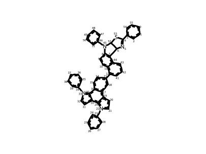 c1ccc(C2=NC3c4c(ccc5c(-c6ccc7c(c6)c6ccn(-c8ccccc8)c6c6ccn(-c8ccccc8)c76)cccc45)N(c4ccccc4)C3S2)cc1